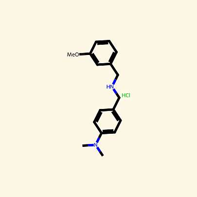 COc1cccc(CNCc2ccc(N(C)C)cc2)c1.Cl